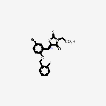 O=C(O)CN1C(=O)/C(=C/c2cc(Br)ccc2OCc2ccccc2I)SC1=S